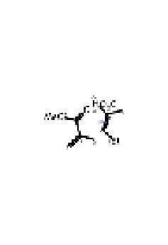 C=C(C)C(=O)OC.CC/C=C(\C)C(=O)O